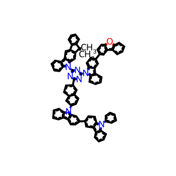 CC1(C)c2ccccc2-c2cc3c4ccccc4n(-c4nc(-c5ccc6cc(-n7c8ccccc8c8ccc(-c9ccc%10c(c9)c9ccccc9n%10-c9ccccc9)cc87)ccc6c5)nc(-n5c6ccccc6c6cc(-c7ccc8oc9ccccc9c8c7)ccc65)n4)c3cc21